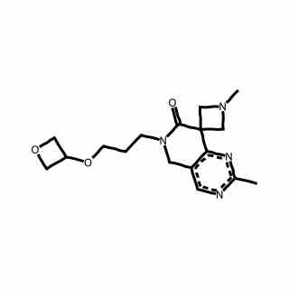 Cc1ncc2c(n1)C1(CN(C)C1)C(=O)N(CCCOC1COC1)C2